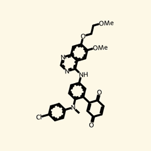 COCCOc1cc2ncnc(Nc3ccc(N(C)c4ccc(Cl)cc4)c(C4=CC(=O)C=CC4=O)c3)c2cc1OC